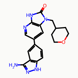 Nc1n[nH]c2ccc(-c3cnc4[nH]c(=O)n(CC5CCOCC5)c4c3)cc12